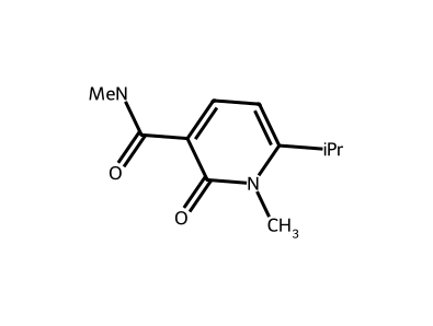 CNC(=O)c1ccc(C(C)C)n(C)c1=O